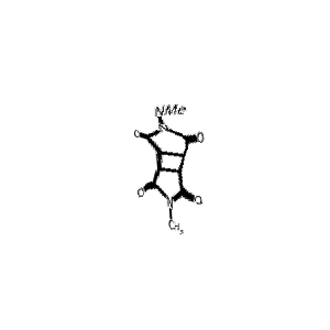 CNN1C(=O)C2C3C(=O)N(C)C(=O)C3C2C1=O